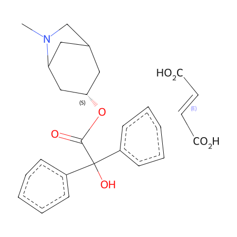 CN1CC2CC1C[C@@H](OC(=O)C(O)(c1ccccc1)c1ccccc1)C2.O=C(O)/C=C/C(=O)O